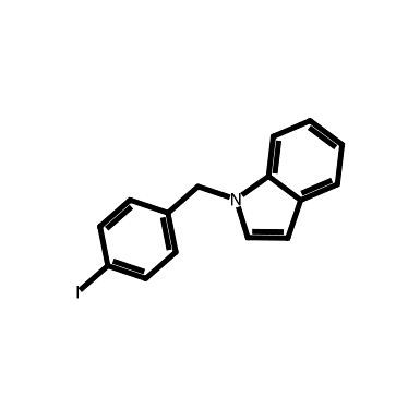 Ic1ccc(Cn2ccc3ccccc32)cc1